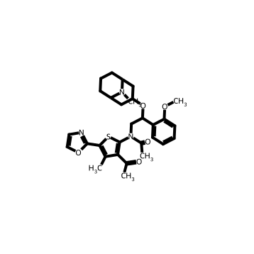 COc1ccccc1C(CN(C(C)=O)c1sc(-c2ncco2)c(C)c1C(C)=O)OC1CC2CCCC(C1)N2C